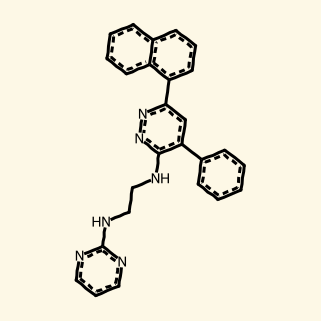 c1ccc(-c2cc(-c3cccc4ccccc34)nnc2NCCNc2ncccn2)cc1